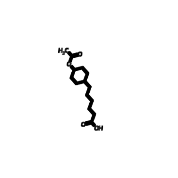 CC(=O)OC1CCC(CCCCCC(=O)O)CC1